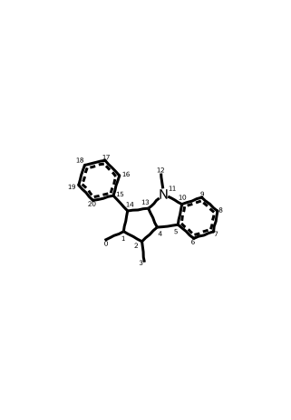 CC1C(C)C2c3ccccc3N(C)C2C1c1ccccc1